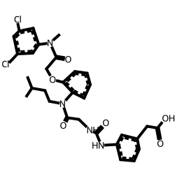 CC(C)CCN(C(=O)CNC(=O)Nc1cccc(CC(=O)O)c1)c1ccccc1OCC(=O)N(C)c1cc(Cl)cc(Cl)c1